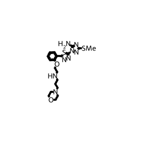 CSc1nc(N)n(-c2nnc(-c3ccccc3OCCNCCCN3CCOCC3)s2)n1